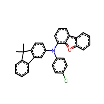 CC1(C)c2ccccc2-c2cc(N(c3ccc(Cl)cc3)c3cccc4c3oc3ccccc34)ccc21